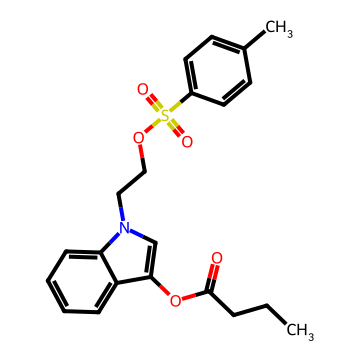 CCCC(=O)Oc1cn(CCOS(=O)(=O)c2ccc(C)cc2)c2ccccc12